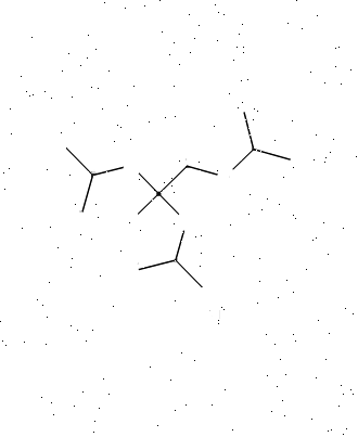 CC(C)OCC(O)(OC(C)C)OC(C)C.[AlH3]